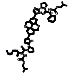 C=C(/C=C\C=C/C)[C@@H](NC(=O)OCC(C)C)C(=O)N1CCC[C@H]1c1ncc(-c2cc3c4c(c2)OCc2cc(-c5cnc([C@@H]6CCCN6C(=O)[C@H](NC(=O)OCC(C)C)c6ccccc6)[nH]5)cc(c2-4)OC3)[nH]1